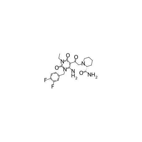 CCn1c(=O)c(C(=O)CN2CCCC[C@@H]2C(N)=O)c(N)n(Cc2ccc(F)c(F)c2)c1=O